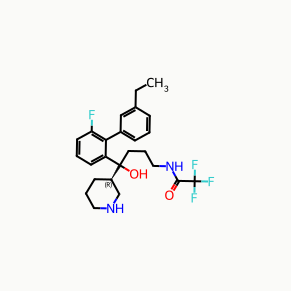 CCc1cccc(-c2c(F)cccc2C(O)(CCCNC(=O)C(F)(F)F)[C@@H]2CCCNC2)c1